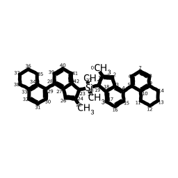 CC1=Cc2c(-c3cccc4c3CCCC4)cccc2C1[Si](C)(C)C1C(C)=Cc2c(-c3cccc4c3CCCC4)cccc21